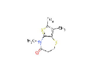 Cc1sc2c(c1C)SCCC(=O)N2C